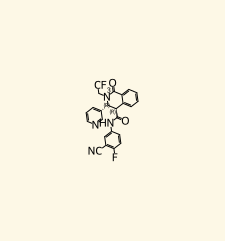 N#Cc1cc(NC(=O)[C@@H]2c3ccccc3C(=O)N(CC(F)(F)F)[C@H]2c2cccnc2)ccc1F